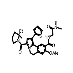 CC[C@@]1(C)CCCN1C(=O)c1cc(-c2cccs2)c2n1CCc1cc(OC)c(C(=O)NCC(=O)N(C)C)cc1-2